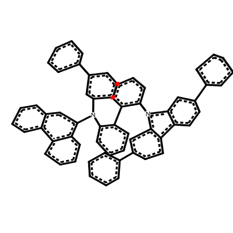 c1ccc(-c2cccc(N(c3ccccc3-c3ccccc3-n3c4cc(-c5ccccc5)ccc4c4ccc(-c5ccccc5)cc43)c3cc4ccccc4c4ccccc34)c2)cc1